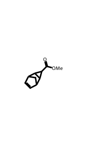 COC(=O)C1C2C3C=CC(C3)C12